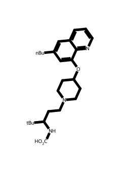 CCCCc1cc(OC2CCN(CCC(NC(=O)O)C(C)(C)C)CC2)c2ncccc2c1